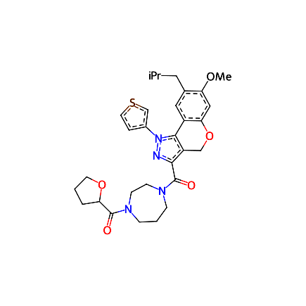 COc1cc2c(cc1CC(C)C)-c1c(c(C(=O)N3CCCN(C(=O)C4CCCO4)CC3)nn1-c1ccsc1)CO2